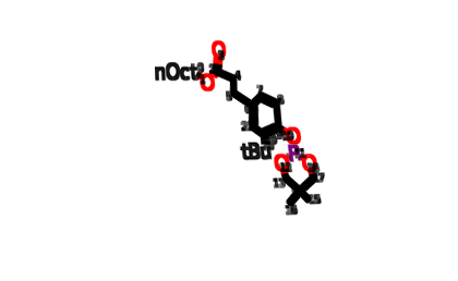 CCCCCCCCOC(=O)CCc1ccc(OP2OCC(C)(C)CO2)c(C(C)(C)C)c1